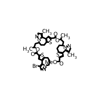 COC(=O)c1cc2c(s1)CCC(CC(C)OC(=O)c1cc3c(s1)CCC(CC(C)OC(=O)c1cc4c(s1)CCCn1ncc(Br)c1-4)n1ncc(C)c1-3)n1ncc(C)c1-2